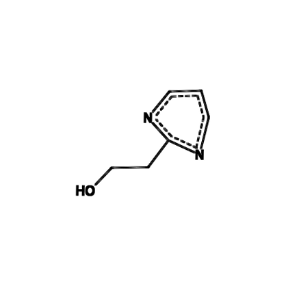 OCCc1ncccn1